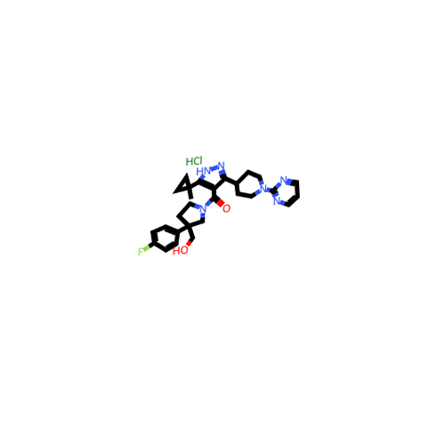 CC1(c2[nH]nc(C3CCN(c4ncccn4)CC3)c2C(=O)N2CCC(CO)(c3ccc(F)cc3)C2)CC1.Cl